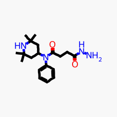 CC1(C)CC(N(C(=O)CCC(=O)NN)c2ccccc2)CC(C)(C)N1